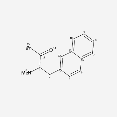 CNC(Cc1ccc2ccccc2c1)C(=O)C(C)C